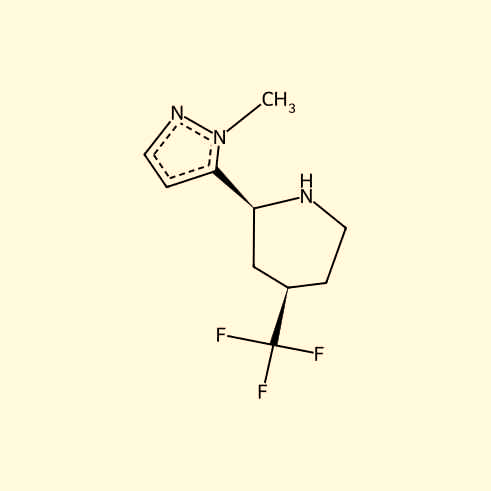 Cn1nccc1[C@@H]1C[C@H](C(F)(F)F)CCN1